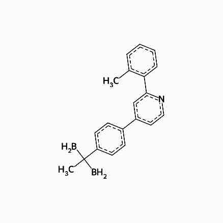 BC(B)(C)c1ccc(-c2ccnc(-c3ccccc3C)c2)cc1